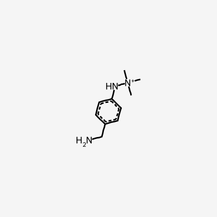 C[N+](C)(C)Nc1ccc(CN)cc1